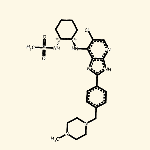 CN1CCN(Cc2ccc(-c3nc4c(N[C@@H]5CCCC[C@H]5NS(C)(=O)=O)c(Cl)cnc4[nH]3)cc2)CC1